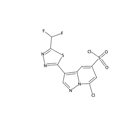 O=S(=O)(Cl)c1cc(Cl)n2ncc(-c3nnc(C(F)F)s3)c2c1